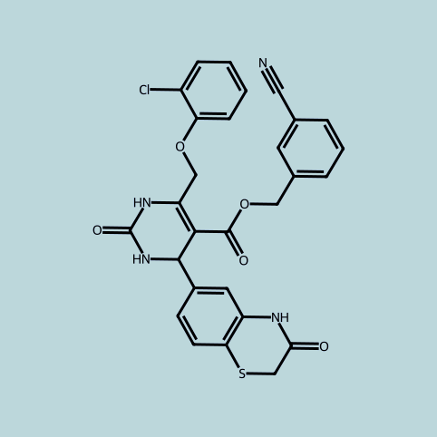 N#Cc1cccc(COC(=O)C2=C(COc3ccccc3Cl)NC(=O)NC2c2ccc3c(c2)NC(=O)CS3)c1